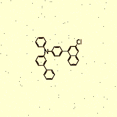 Clc1cc(-c2ccc(N(c3ccccc3)c3cccc(-c4ccccc4)c3)cc2)c2ccccc2c1